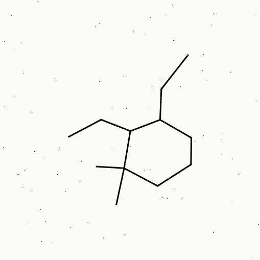 CCC1CCCC(C)(C)C1CC